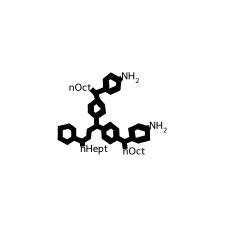 CCCCCCCCC(c1ccc(N)cc1)c1ccc(C(CCC(CCCCCCC)C2CCCCC2)c2ccc(C(CCCCCCCC)c3ccc(N)cc3)cc2)cc1